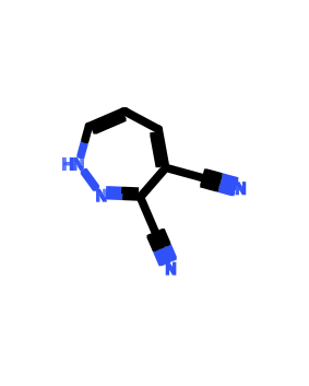 N#CC1=CC=CNN=C1C#N